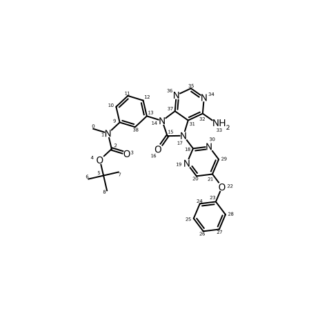 CN(C(=O)OC(C)(C)C)c1cccc(-n2c(=O)n(-c3ncc(Oc4ccccc4)cn3)c3c(N)ncnc32)c1